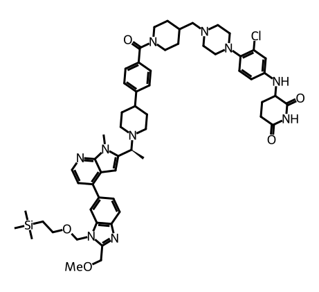 COCc1nc2ccc(-c3ccnc4c3cc([C@H](C)N3CCC(c5ccc(C(=O)N6CCC(CN7CCN(c8ccc(NC9CCC(=O)NC9=O)cc8Cl)CC7)CC6)cc5)CC3)n4C)cc2n1COCC[Si](C)(C)C